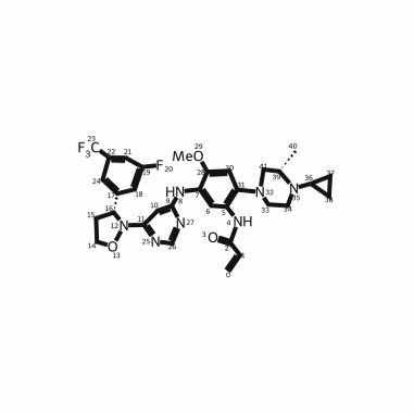 C=CC(=O)Nc1cc(Nc2cc(N3OCC[C@@H]3c3cc(F)cc(C(F)(F)F)c3)ncn2)c(OC)cc1N1CCN(C2CC2)[C@@H](C)C1